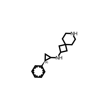 c1ccc([C@H]2CC2NC2CC3(CCNCC3)C2)cc1